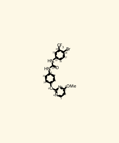 COc1ccnc(Oc2ccc(NC(=O)Nc3ccc(Br)c(C(F)(F)F)c3)cc2)n1